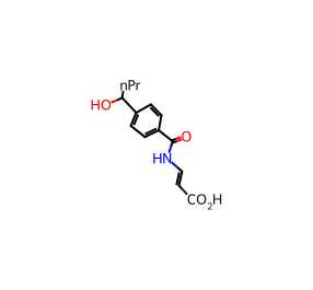 CCCC(O)c1ccc(C(=O)NC=CC(=O)O)cc1